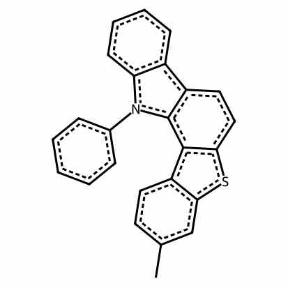 Cc1ccc2c(c1)sc1ccc3c4ccccc4n(-c4ccccc4)c3c12